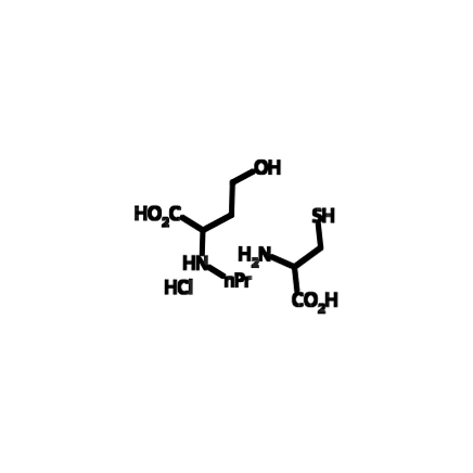 CCCNC(CCO)C(=O)O.Cl.NC(CS)C(=O)O